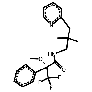 CO[C@@](C(=O)NCC(C)(C)Cc1ccccn1)(c1ccccc1)C(F)(F)F